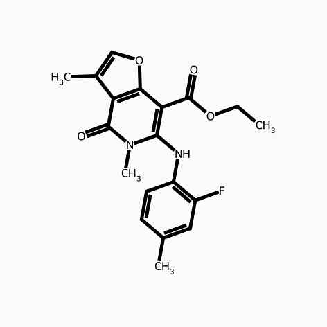 CCOC(=O)c1c(Nc2ccc(C)cc2F)n(C)c(=O)c2c(C)coc12